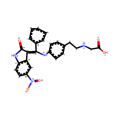 O=C(O)CNCCc1ccc(NC(=C2C(=O)Nc3ccc([N+](=O)[O-])cc32)c2ccccc2)cc1